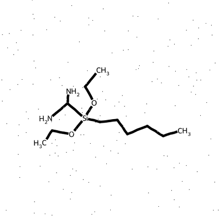 CCCCCC[Si](OCC)(OCC)C(N)N